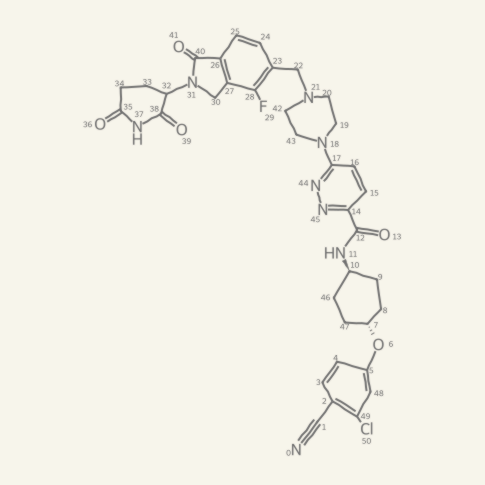 N#Cc1ccc(O[C@H]2CC[C@H](NC(=O)c3ccc(N4CCN(Cc5ccc6c(c5F)CN(C5CCC(=O)NC5=O)C6=O)CC4)nn3)CC2)cc1Cl